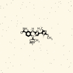 Br.CSc1nc(C)c(-c2csc(Nc3cc(C(N)=O)ccc3OC(C)C)n2)s1